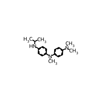 CC(C)Nc1ccc(N(C)c2ccc(N(C)C)cc2)cc1